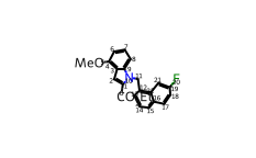 CCOC(=O)c1cc2c(OC)cccc2n1Cc1cccc2ccc(F)cc12